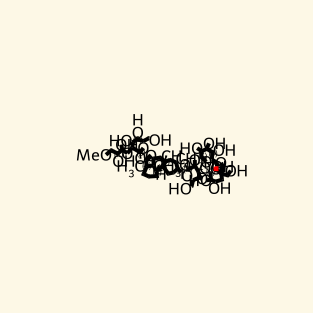 C=C1C[C@@]2(C)CCC3[C@](C)(C(=O)O[C@@H]4OC(CO)[C@@H](O)C(O)C4OC(O)[C@H](O)COC)CCC[C@@]3(C)[C@@H]2CCC1(I)O[C@@H]1OC(CO)C(=O)C(O[C@@H]2OC(CO)(CO)CC(O)C2O)C1O[C@@H]1OC(CO)[C@@H](O)C(O)C1O